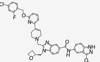 COc1n[nH]c2ccc(NC(=O)c3ccc4c(c3)nc(CN3CC=C(c5cccc(OCc6ccc(Cl)cc6F)n5)CC3)n4C[C@@H]3CCO3)cc12